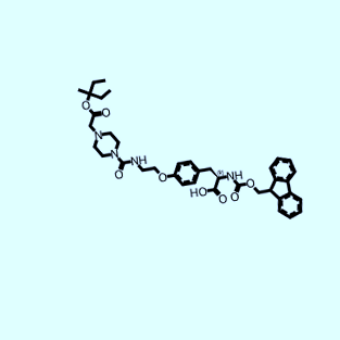 CCC(C)(CC)OC(=O)CN1CCN(C(=O)NCCOc2ccc(C[C@@H](NC(=O)OCC3c4ccccc4-c4ccccc43)C(=O)O)cc2)CC1